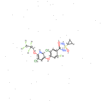 N=S(=O)(NC(=O)c1cc(Cl)c(Oc2cnc(OCC(F)(F)C(F)F)c(Cl)c2)cc1F)C1CC1